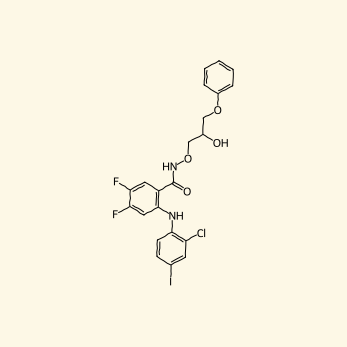 O=C(NOCC(O)COc1ccccc1)c1cc(F)c(F)cc1Nc1ccc(I)cc1Cl